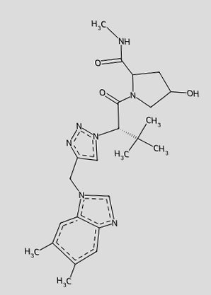 CNC(=O)C1CC(O)CN1C(=O)[C@@H](n1cc(Cn2cnc3cc(C)c(C)cc32)nn1)C(C)(C)C